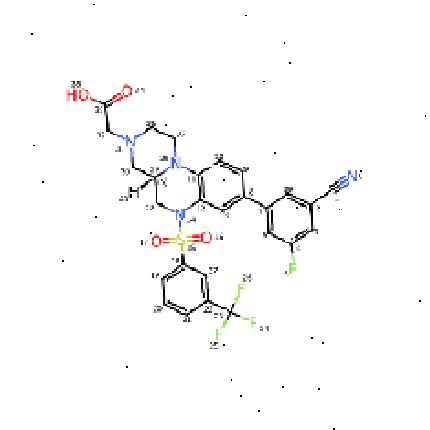 N#Cc1cc(F)cc(-c2ccc3c(c2)N(S(=O)(=O)c2cccc(C(F)(F)F)c2)C[C@@H]2CN(CC(=O)O)CCN32)c1